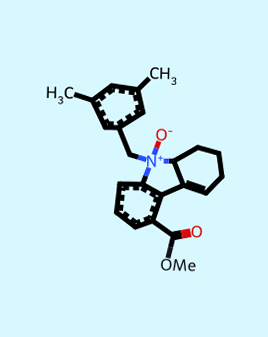 COC(=O)c1cccc2c1C1=CCCCC1[N+]2([O-])Cc1cc(C)cc(C)c1